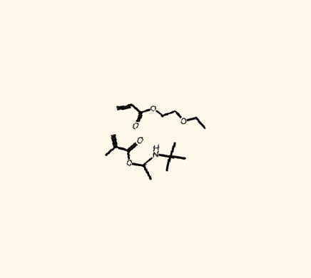 C=C(C)C(=O)OC(C)NC(C)(C)C.C=CC(=O)OCCOCC